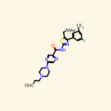 CNCc1sc(NC(=O)c2cnc(N3CCN(CCC=O)CC3)cn2)nc1-c1cc(F)cc(C(F)(F)F)c1